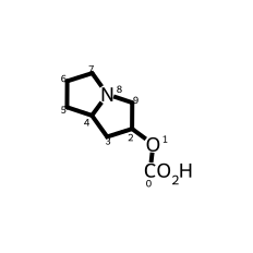 O=C(O)OC1CC2CCCN2C1